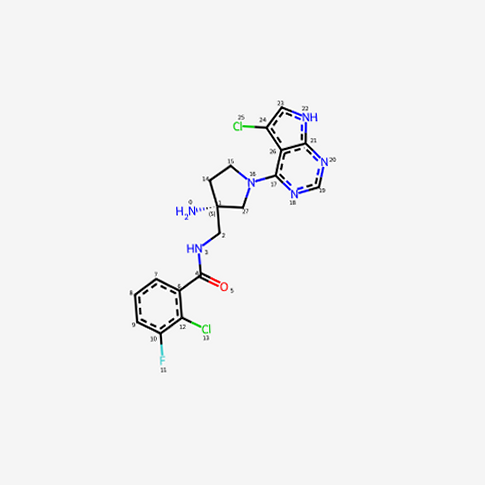 N[C@]1(CNC(=O)c2cccc(F)c2Cl)CCN(c2ncnc3[nH]cc(Cl)c23)C1